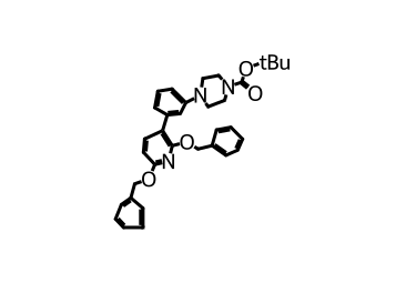 CC(C)(C)OC(=O)N1CCN(c2cccc(-c3ccc(OCc4ccccc4)nc3OCc3ccccc3)c2)CC1